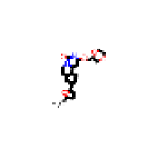 Cc1ccc(-c2ccc3c(c2)CCn2c-3cc(OCC3COCCO3)nc2=O)o1